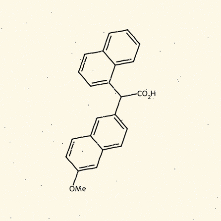 COc1ccc2cc(C(C(=O)O)c3cccc4ccccc34)ccc2c1